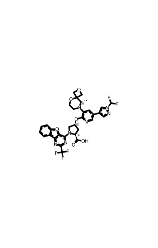 C[C@@H]1N(c2cc(-c3cnn(C(F)F)c3)cnc2O[C@H]2C[C@@H](C(=O)O)N(c3nc(C(F)(F)F)nc4c3oc3ccccc34)C2)CCOC12COC2